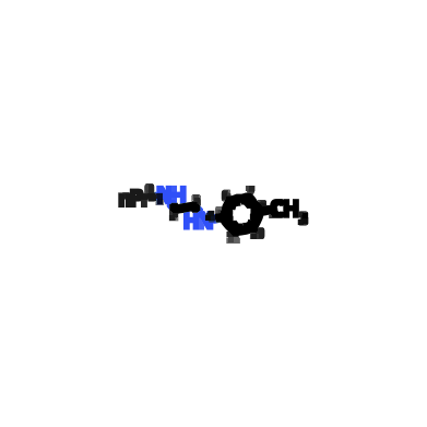 CCCNCCNc1ccc(C)cc1